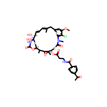 COc1cc2cc(c1Cl)N(C)C(=O)C[C@H](OC(=O)CCNC(=O)c1ccc(C(C)=O)cc1)C1(C)OC1C(C)[C@@H]1C[C@@](O)(NC(=O)O1)[C@H](O)/C=C/C=C(\C)C2